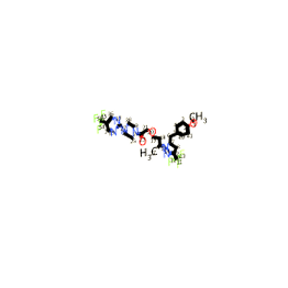 COc1ccc(CC2CC(C(F)(F)F)=NN2C(C)CCOCC(=O)N2CCN(c3ncc(C(F)(F)F)cn3)CC2)cc1